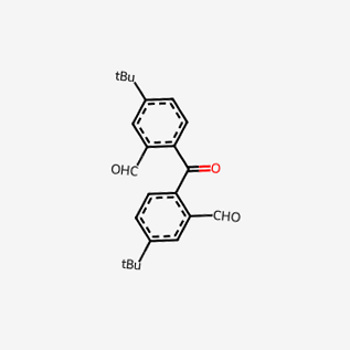 CC(C)(C)c1ccc(C(=O)c2ccc(C(C)(C)C)cc2C=O)c(C=O)c1